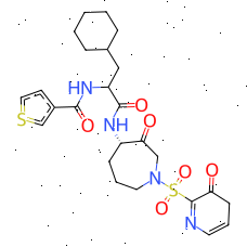 O=C1CC=CN=C1S(=O)(=O)N1CCC[C@H](NC(=O)C(CC2CCCCC2)NC(=O)c2ccsc2)C(=O)C1